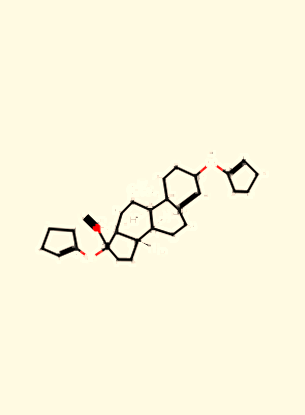 C#CC1(OC2=CCCC2)CC[C@H]2[C@@H]3CCC4=CC(OC5=CCCC5)CC[C@]4(C=O)[C@@H]3CC[C@@]21C